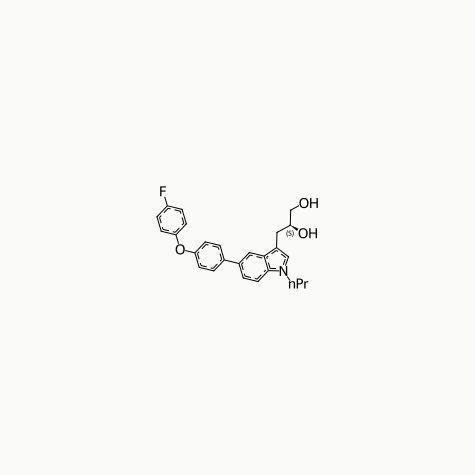 CCCn1cc(C[C@H](O)CO)c2cc(-c3ccc(Oc4ccc(F)cc4)cc3)ccc21